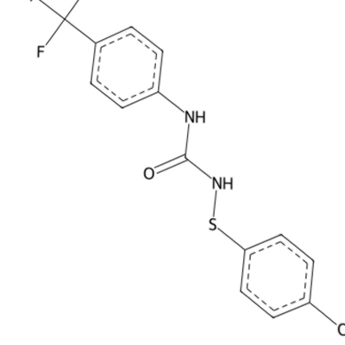 Cc1ccc(SNC(=O)Nc2ccc(C(F)(F)F)cc2)cc1